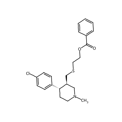 CN1CC[C@H](c2ccc(Cl)cc2)[C@@H](CSCCOC(=O)c2ccccc2)C1